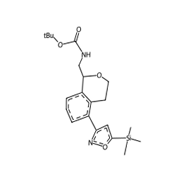 CC(C)(C)OC(=O)NCC1OCCc2c(-c3cc([Si](C)(C)C)on3)cccc21